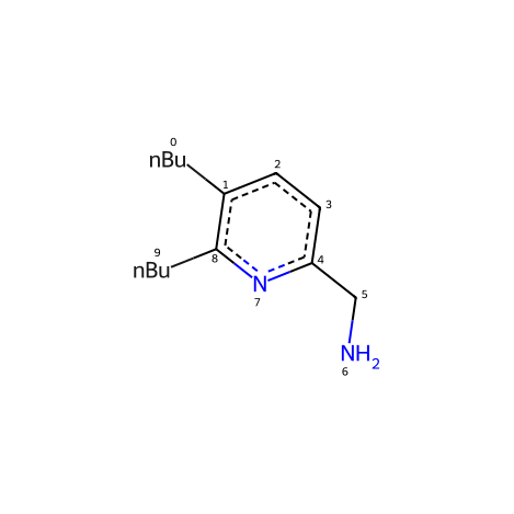 CCCCc1ccc(CN)nc1CCCC